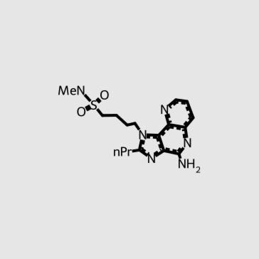 CCCc1nc2c(N)nc3cccnc3c2n1CCCCS(=O)(=O)NC